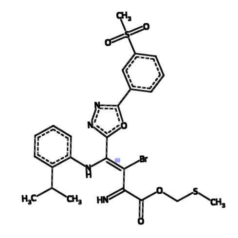 CSCOC(=O)C(=N)/C(Br)=C(\Nc1ccccc1C(C)C)c1nnc(-c2cccc(S(C)(=O)=O)c2)o1